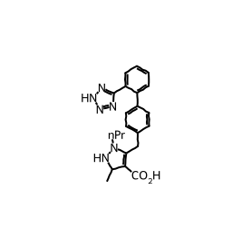 CCCN1NC(C)C(C(=O)O)=C1Cc1ccc(-c2ccccc2-c2nn[nH]n2)cc1